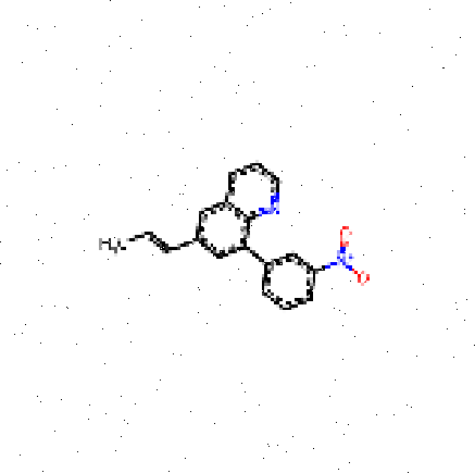 CC=Cc1cc(-c2cccc([N+](=O)[O-])c2)c2ncccc2c1